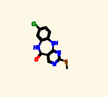 CSc1ncc2c(n1)Nc1ccc(Cl)cc1NC2=O